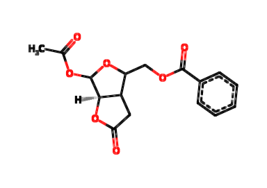 CC(=O)OC1OC(COC(=O)c2ccccc2)C2CC(=O)O[C@@H]12